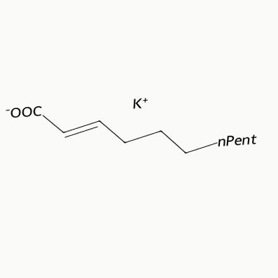 CCCCCCCCC=CC(=O)[O-].[K+]